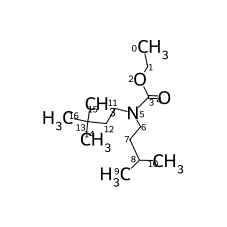 CCOC(=O)N(CCC(C)C)CCC(C)(C)C